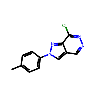 Cc1ccc(-n2cc3cnnc(Cl)c3n2)cc1